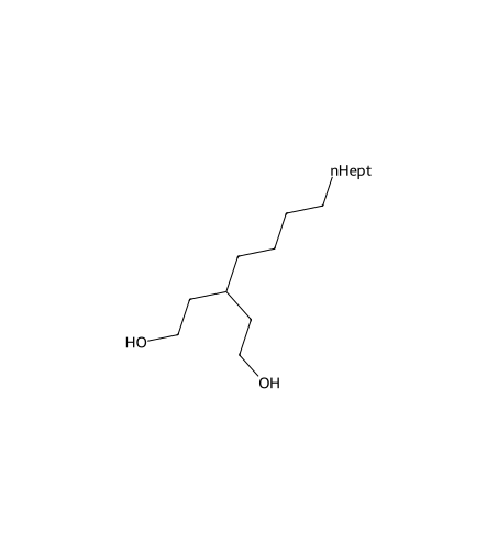 CCCCCCCCCCCC(CCO)CCO